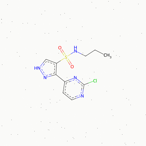 CCCNS(=O)(=O)c1c[nH]nc1-c1ccnc(Cl)n1